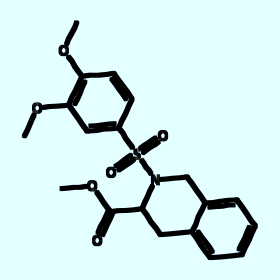 COC(=O)C1Cc2ccccc2CN1S(=O)(=O)c1ccc(OC)c(OC)c1